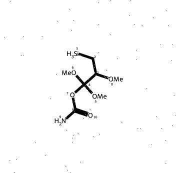 COC(C[SiH3])C(OC)(OC)OC(N)=O